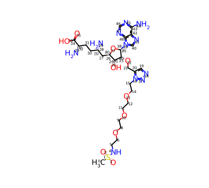 CS(=O)(=O)NCCOCCOCCOCCn1nncc1CO[C@@H]1[C@H](O)[C@@H](C[C@@H](N)CC[C@H](N)C(=O)O)O[C@H]1n1cnc2c(N)ncnc21